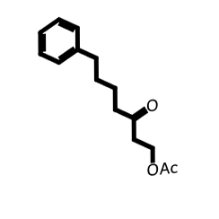 CC(=O)OCCC(=O)CCCCc1ccccc1